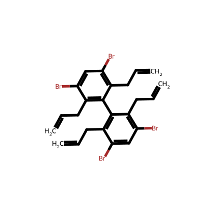 C=CCc1c(Br)cc(Br)c(CC=C)c1-c1c(CC=C)c(Br)cc(Br)c1CC=C